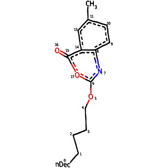 CCCCCCCCCCCCCCOc1nc2ccc(C)cc2c(=O)o1